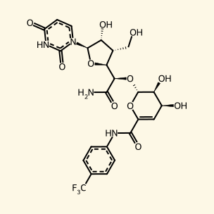 NC(=O)[C@H](O[C@H]1OC(C(=O)Nc2ccc(C(F)(F)F)cc2)=C[C@H](O)[C@@H]1O)[C@H]1O[C@@H](n2ccc(=O)[nH]c2=O)[C@H](O)[C@@H]1CO